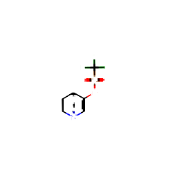 O=S(=O)(OC1=CN2CCC1CC2)C(F)(F)F